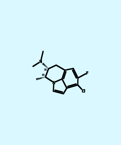 C[C@@H]1[C@H](N(C)C)Cc2cc(F)c(Cl)c3ccn1c23